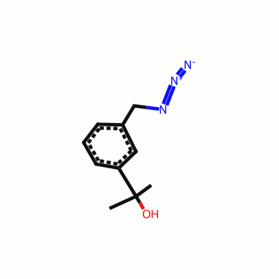 CC(C)(O)c1cccc(CN=[N+]=[N-])c1